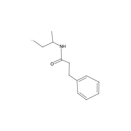 [CH2]CC(C)NC(=O)CCc1ccccc1